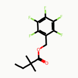 CCC(C)(C)C(=O)OCc1c(F)c(F)c(F)c(F)c1F